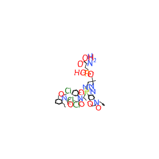 C#CCN1C(=O)COc2cc(F)c(/N=c3\snc4n3CC(C)(C)C4)cc21.CC1COc2ccccc2N1C(=O)C(Cl)Cl.CCc1cccc(C)c1N(C(=O)CCl)C(C)COC.CP(=O)(O)CCC(N)C(=O)O